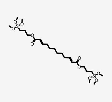 CO[Si](CCCOC(=O)/C=C/CCCCCC/C=C/C(=O)OCCC[Si](OC)(OC)OC)(OC)OC